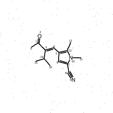 CC(=O)/C(=C/c1cc(C#N)n(C)c1C)C(C)C